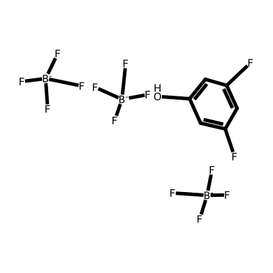 F[B-](F)(F)F.F[B-](F)(F)F.F[B-](F)(F)F.Oc1cc(F)cc(F)c1